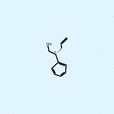 C=CC[C@@H](CO)c1ccccc1